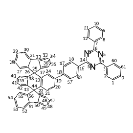 c1ccc(-c2nc(-c3ccccc3)nc(-c3ccc(-c4ccc5c(c4)C4(c6ccccc6-c6ccccc64)c4ccccc4C54c5ccccc5-c5ccccc54)cc3)n2)cc1